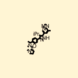 Cc1cc(-c2[nH]nc(-c3ccc(C(C)N(C)C(=O)[C@H]4CCCN4C)cc3)c2C(C)C)cn2ncnc12